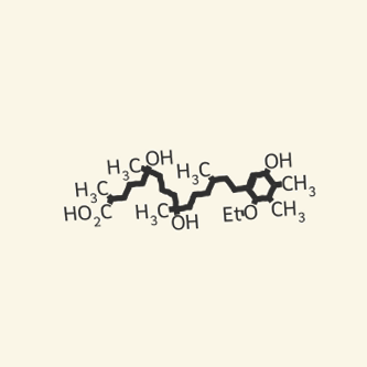 CCOC1C(CCC(C)CCCC(C)(O)CCCC(C)(O)CCCC(C)C(=O)O)=CC(O)C(C)C1C